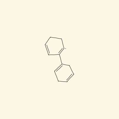 [C]1=C(C2=CCC=CC2)C=CCC1